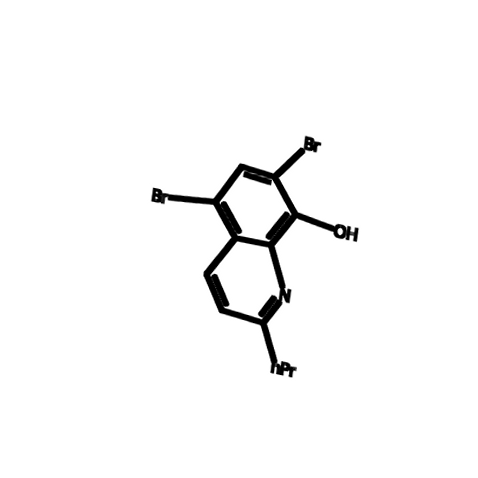 CCCc1ccc2c(Br)cc(Br)c(O)c2n1